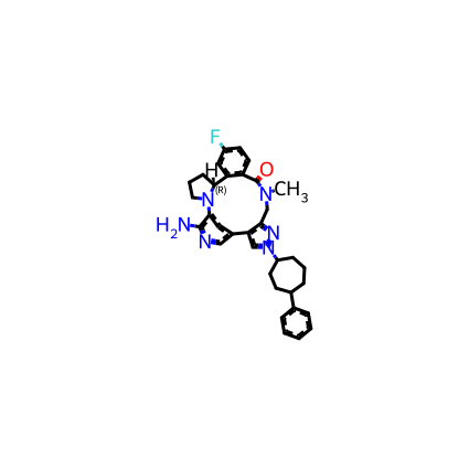 CN1Cc2nn(C3CCCC(c4ccccc4)CC3)cc2-c2cnc(N)c(c2)N2CCC[C@@H]2c2cc(F)ccc2C1=O